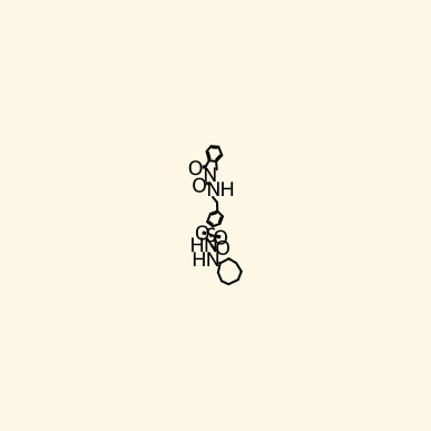 O=C(NC1CCCCCCC1)NS(=O)(=O)c1ccc(CCNC(=O)N2Cc3ccccc3C2=O)cc1